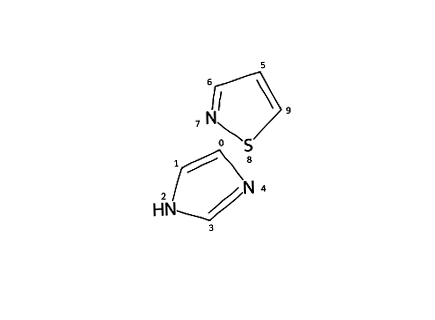 c1c[nH]cn1.c1cnsc1